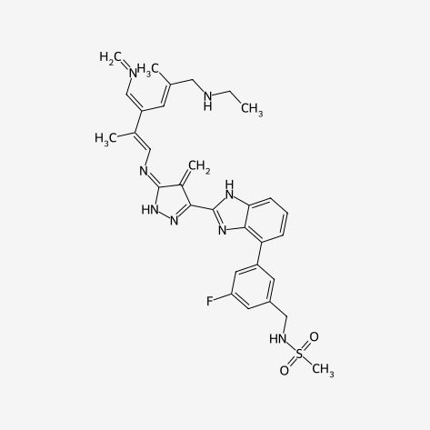 C=N/C=C(\C=C(/C)CNCC)C(/C)=C/N=C1/NN=C(c2nc3c(-c4cc(F)cc(CNS(C)(=O)=O)c4)cccc3[nH]2)C1=C